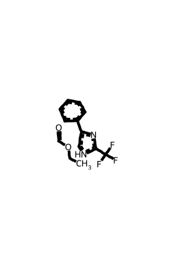 CCOC=O.FC(F)(F)c1nc(-c2ccccc2)c[nH]1